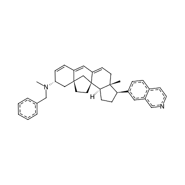 CN(Cc1ccccc1)[C@@H]1C=CC2=CC3=CC[C@]4(C)[C@@H](c5ccc6ccncc6c5)CC[C@H]4[C@@]34CC[C@]2(C1)C4